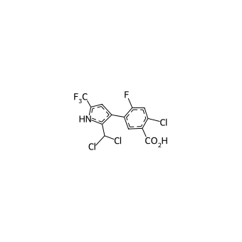 O=C(O)c1cc(-c2cc(C(F)(F)F)[nH]c2C(Cl)Cl)c(F)cc1Cl